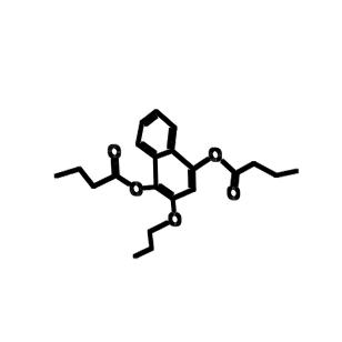 CCCOc1cc(OC(=O)CCC)c2ccccc2c1OC(=O)CCC